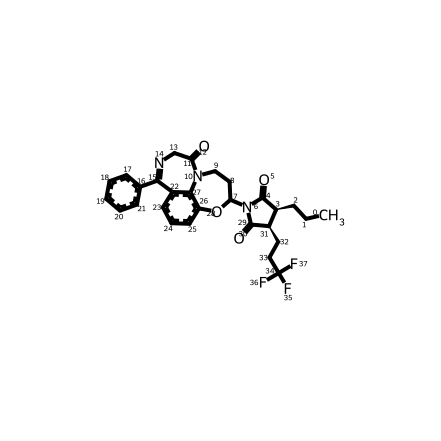 CCC[C@@H]1C(=O)N(C2CCN3C(=O)CN=C(c4ccccc4)c4cccc(c43)O2)C(=O)[C@@H]1CCC(F)(F)F